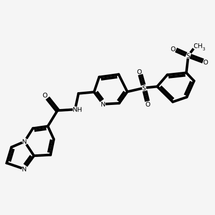 CS(=O)(=O)c1cccc(S(=O)(=O)c2ccc(CNC(=O)c3ccc4nccn4c3)nc2)c1